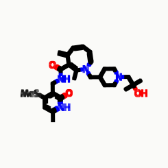 C=C1/C=C\C=C/N(CC2CCN(CC(C)(C)O)CC2)/C(C)=C\1C(=O)NCc1c(SC)cc(C)[nH]c1=O